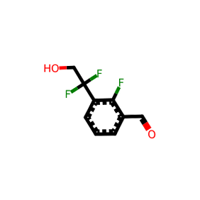 O=Cc1cccc(C(F)(F)CO)c1F